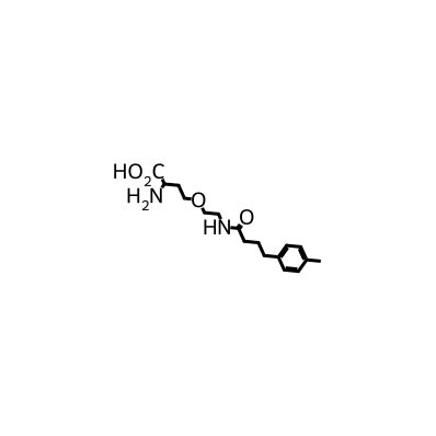 Cc1ccc(CCCC(=O)NCCOCCC(N)C(=O)O)cc1